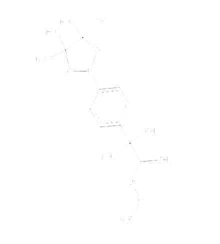 COOC(C)C(C)(C)c1ccc(P2OC(C)(C)C(C)(C)O2)cc1